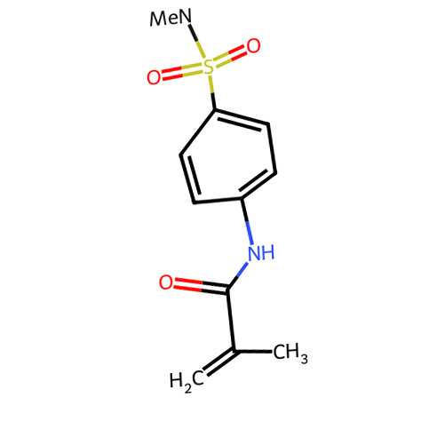 C=C(C)C(=O)Nc1ccc(S(=O)(=O)NC)cc1